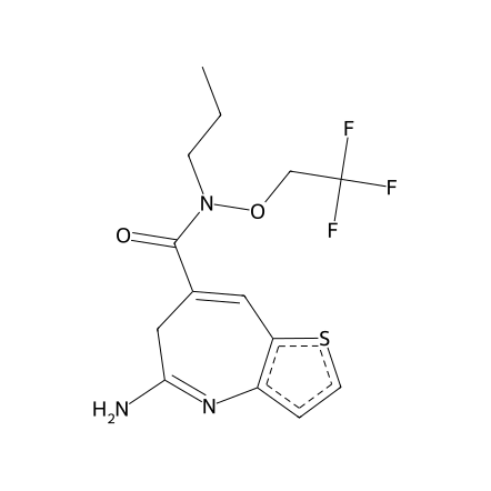 CCCN(OCC(F)(F)F)C(=O)C1=Cc2sccc2N=C(N)C1